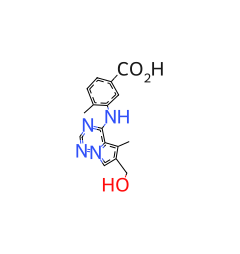 Cc1ccc(C(=O)O)cc1Nc1ncnn2cc(CO)c(C)c12